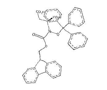 O=C(O)C[C@@H](C(=O)O)N(OC(c1ccccc1)(c1ccccc1)c1ccccc1)C(=O)OCC1c2ccccc2-c2ccccc21